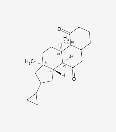 C[C@]12CC[C@@H]3[C@@H](C(=O)CC4CCCC(=O)[C@@]43C)[C@@H]1CC(C1CC1)C2